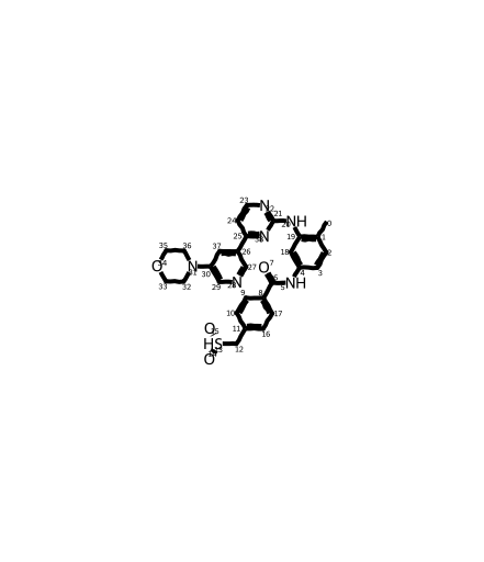 Cc1ccc(NC(=O)c2ccc(C[SH](=O)=O)cc2)cc1Nc1nccc(-c2cncc(N3CCOCC3)c2)n1